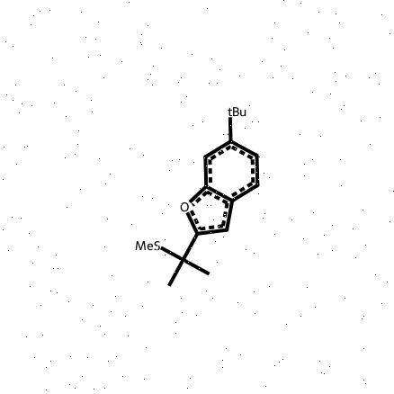 CSC(C)(C)c1cc2ccc(C(C)(C)C)cc2o1